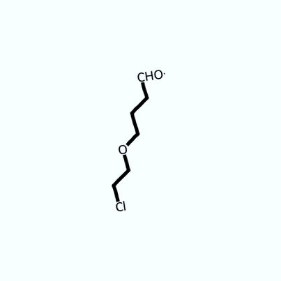 O=[C]CCCOCCCl